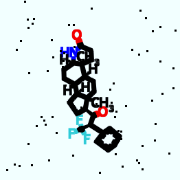 C[C@]12CCC(=O)N[C@@H]1CC[C@@H]1[C@@H]2CC[C@]2(C)[C@@H](C(=O)[C@@H](c3ccccc3)C(F)(F)F)CC[C@@H]12